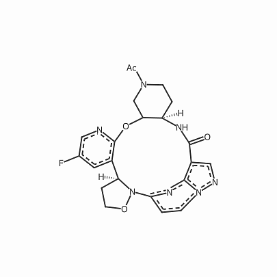 CC(=O)N1CC[C@H]2NC(=O)c3cnn4ccc(nc34)N3OCC[C@H]3c3cc(F)cnc3OC2C1